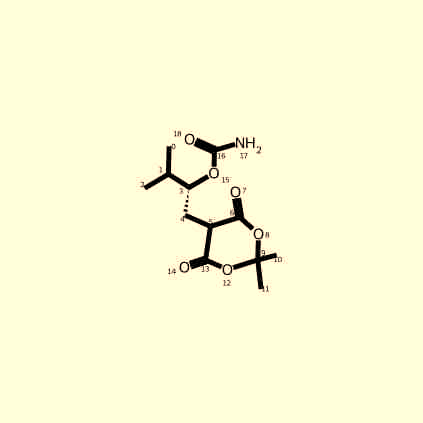 CC(C)[C@@H](CC1C(=O)OC(C)(C)OC1=O)OC(N)=O